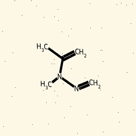 C=NN(C)C(=C)C